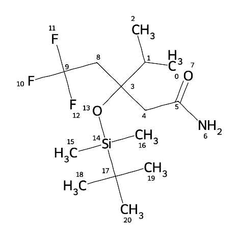 CC(C)C(CC(N)=O)(CC(F)(F)F)O[Si](C)(C)C(C)(C)C